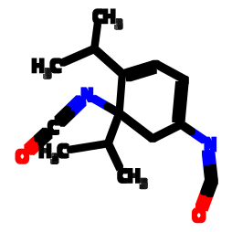 CC(C)C1=CC=C(N=C=O)CC1(N=C=O)C(C)C